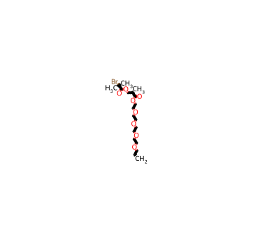 C=CCOCCOCCOCCOCCOC(=O)C(C)COC(=O)C(C)(C)Br